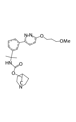 COCCCOc1ccc(-c2cccc(C(C)(C)NC(=O)OC3CN4CCC3CC4)c2)nn1